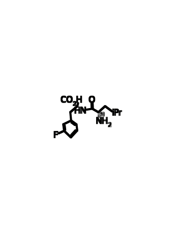 CC(C)C[C@H](N)C(=O)NC(Cc1cccc(F)c1)C(=O)O